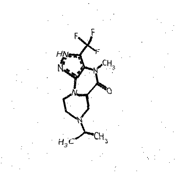 CC(C)N1CCN2c3n[nH]c(C(F)(F)F)c3N(C)C(=O)C2C1